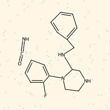 Fc1ccccc1N1CCNCC1NCc1ccccc1.N=C=O